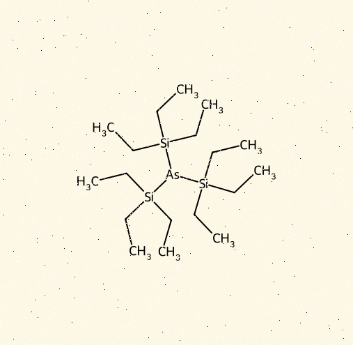 CC[Si](CC)(CC)[As]([Si](CC)(CC)CC)[Si](CC)(CC)CC